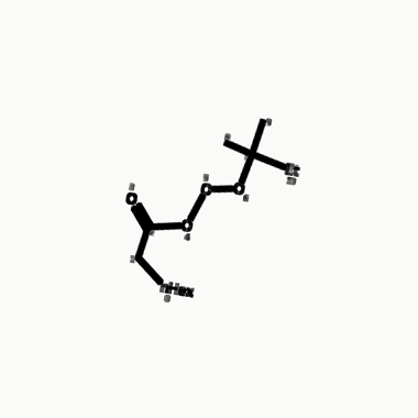 CCCCCCCC(=O)OOOC(C)(C)CC